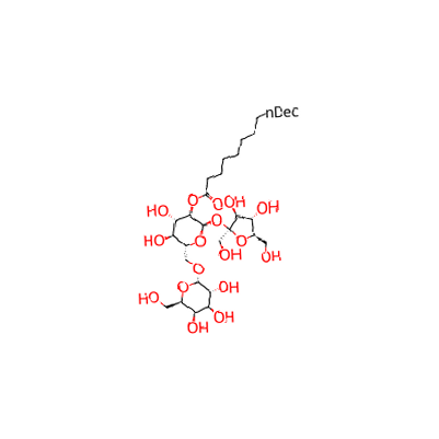 CCCCCCCCCCCCCCCCCC(=O)O[C@H]1[C@@H](O[C@]2(CO)O[C@H](CO)[C@@H](O)[C@@H]2O)O[C@H](CO[C@H]2O[C@H](CO)[C@H](O)[C@H](O)[C@H]2O)[C@@H](O)[C@@H]1O